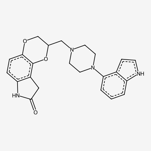 O=C1Cc2c(ccc3c2OC(CN2CCN(c4cccc5[nH]ccc45)CC2)CO3)N1